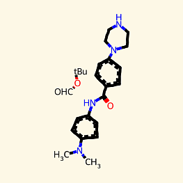 CC(C)(C)OC=O.CN(C)c1ccc(NC(=O)c2ccc(N3CCNCC3)cc2)cc1